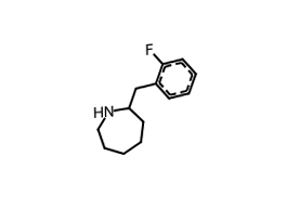 Fc1ccccc1CC1CCCCCN1